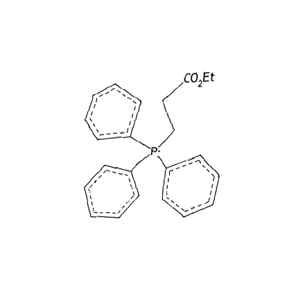 CCOC(=O)CC[P](c1ccccc1)(c1ccccc1)c1ccccc1